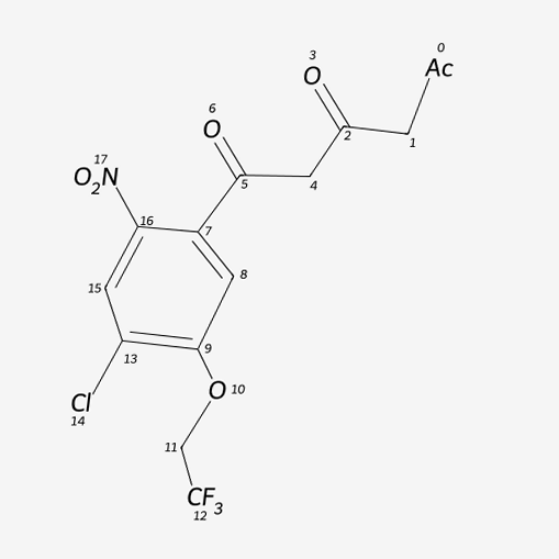 CC(=O)CC(=O)CC(=O)c1cc(OCC(F)(F)F)c(Cl)cc1[N+](=O)[O-]